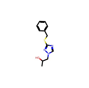 CC(O)Cn1cnc(SCc2ccccc2)n1